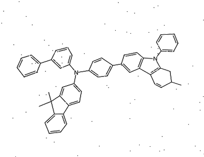 CC1C=Cc2c(n(-c3ccccc3)c3ccc(-c4ccc(N(c5cccc(-c6ccccc6)c5)c5ccc6c(c5)C(C)(C)c5ccccc5-6)cc4)cc23)C1